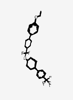 CCOc1ccc(C2CCC(C(F)(F)OC3CCC(c4ccc(C(F)(F)F)cc4)CC3)CC2)cc1